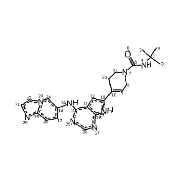 CC(C)(C)NC(=O)N1CC=C(c2cc3c(Nc4ccc5nccn5c4)ncnc3[nH]2)CC1